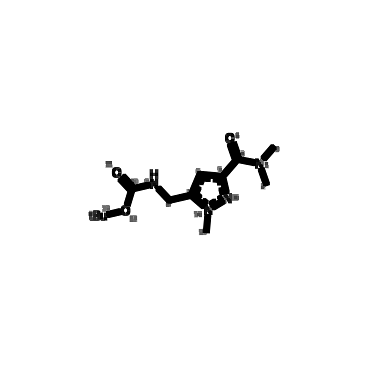 CN(C)C(=O)c1cc(CNC(=O)OC(C)(C)C)n(C)n1